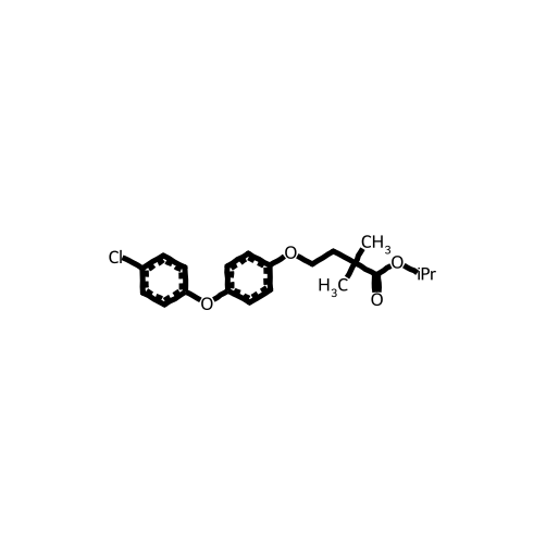 CC(C)OC(=O)C(C)(C)CCOc1ccc(Oc2ccc(Cl)cc2)cc1